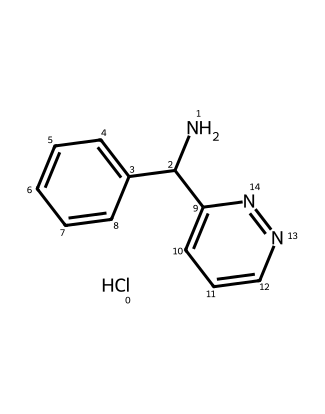 Cl.NC(c1ccccc1)c1cccnn1